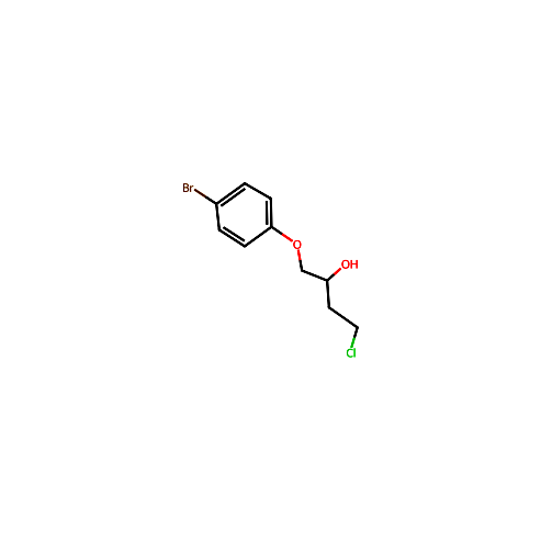 OC(CCCl)COc1ccc(Br)cc1